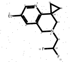 CCc1cnc2c(c1)CN(CC(F)F)CC21CC1